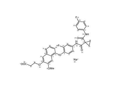 COc1cc2c(Oc3ccc(NC(=O)C4(C(=O)Nc5ccc(F)cc5)CC4)cc3F)ccnc2cc1OCCC(=O)[O-].[Na+]